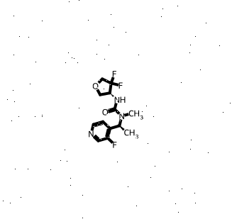 C[C@@H](c1ccncc1F)N(C)C(=O)N[C@@H]1COCC1(F)F